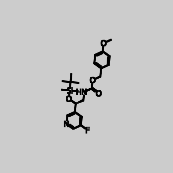 COc1ccc(COC(=O)NC[C@H](O[Si](C)(C)C(C)(C)C)c2cncc(F)c2)cc1